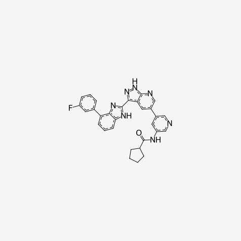 O=C(Nc1cncc(-c2cnc3[nH]nc(-c4nc5c(-c6cccc(F)c6)cccc5[nH]4)c3c2)c1)C1CCCC1